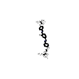 C=C(C)C(=O)OCCOc1ccc(/C=C/c2ccc(/C=C/c3ccc(OC(=O)C(=C)C)cc3)c(F)c2)cc1